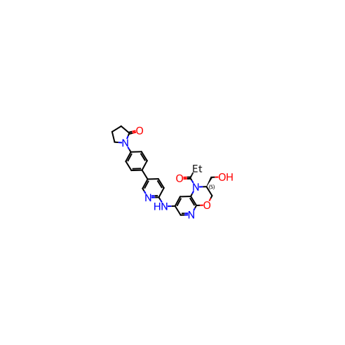 CCC(=O)N1c2cc(Nc3ccc(-c4ccc(N5CCCC5=O)cc4)cn3)cnc2OC[C@@H]1CO